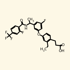 CCc1cc(Oc2cc(F)cc(C(C)NC(=O)c3ccc(C(F)(F)F)cc3F)c2)ccc1CCC(=O)O